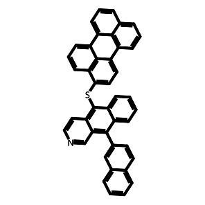 c1ccc2cc(-c3c4ccccc4c(Sc4ccc5c6cccc7cccc(c8cccc4c85)c76)c4ccncc34)ccc2c1